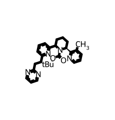 Cc1cccnc1[C@@H]1CCCC(c2cccc(CCc3ncccn3)n2)N1C(=O)OC(C)(C)C